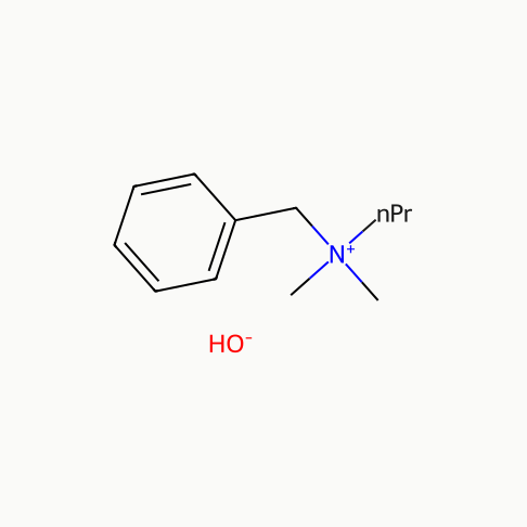 CCC[N+](C)(C)Cc1ccccc1.[OH-]